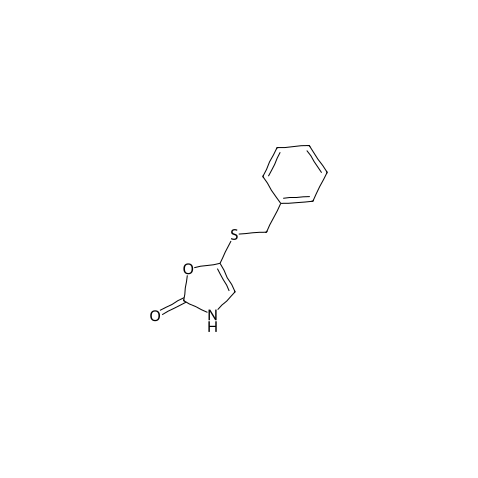 O=c1[nH]cc(SCc2ccccc2)o1